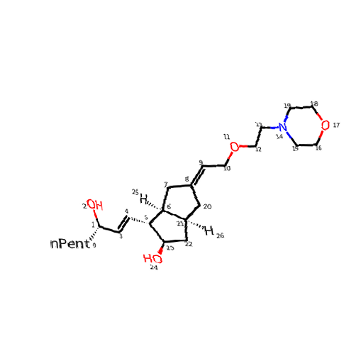 CCCCC[C@H](O)/C=C/[C@@H]1[C@H]2C/C(=C/COCCN3CCOCC3)C[C@H]2C[C@H]1O